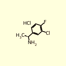 C[C@H](N)c1ccc(F)c(Cl)c1.Cl